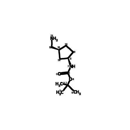 CC(C)(C)OC(=O)N[C@@H]1CC[C@H](CN)C1